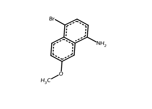 COc1ccc2c(Br)ccc(N)c2c1